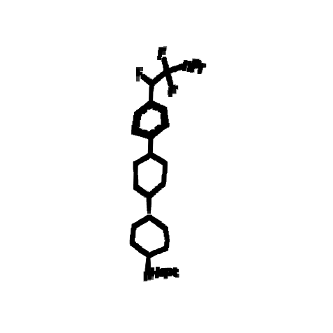 CCCCCCC[C@H]1CC[C@H](C2CCC(c3ccc(C(F)C(F)(F)CCC)cc3)CC2)CC1